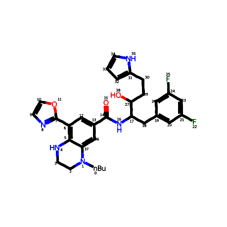 CCCCN1CCNc2c(-c3ncco3)cc(C(=O)NC(Cc3cc(F)cc(F)c3)C(O)CCc3ccc[nH]3)cc21